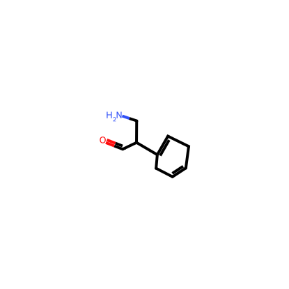 NCC([C]=O)C1=CCC=CC1